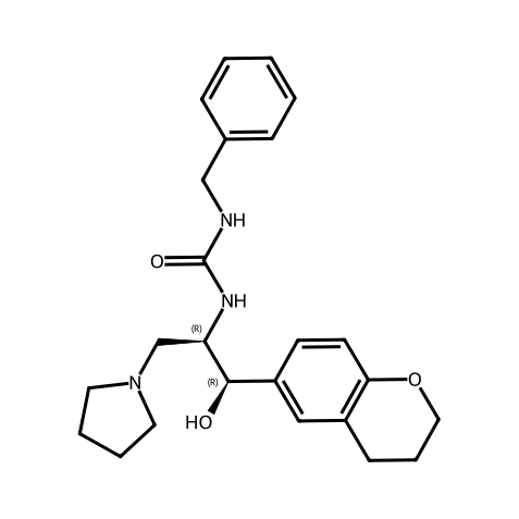 O=C(NCc1ccccc1)N[C@H](CN1CCCC1)[C@H](O)c1ccc2c(c1)CCCO2